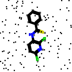 S=C(Nc1ccc(Cl)nc1Cl)c1ccccc1